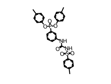 Cc1ccc(OP(=O)(Oc2ccc(C)cc2)c2cccc(NC(=O)NS(=O)(=O)c3ccc(C)cc3)c2)cc1